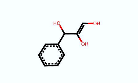 OC=C(O)C(O)c1ccccc1